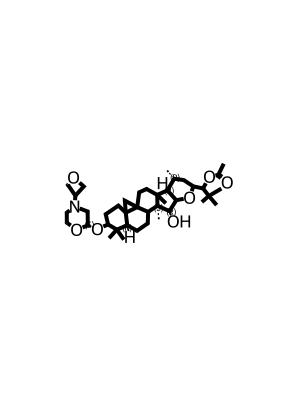 CC(=O)OC(C1C[C@@H](C)[C@H]2C(O1)[C@H](O)[C@@]1(C)C3CC[C@H]4C(C)(C)C(O[C@H]5CN(C6COC6)CCO5)CCC45CC35CCC21C)C(C)(C)C